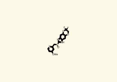 COc1ccnc(C[S+]([O-])c2nc3cc4c(cc3[nH]2)OCC(F)(F)O4)c1